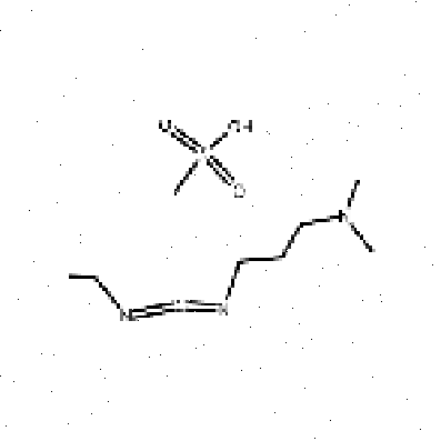 CCN=C=NCCCN(C)C.CS(=O)(=O)O